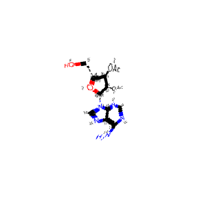 CC(=O)O[C@H]1[C@H](OC(C)=O)[C@@H](CO)O[C@H]1n1cnc2c(N)ncnc21